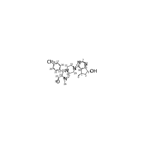 C[C@@H]1C[C@@H](O)c2ncnc(N3CCN(C(c4ccc(Cl)cc4)C(C=O)N(C)C)CC3)c21